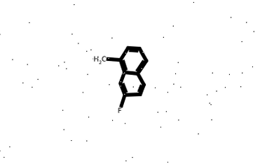 [CH2]c1cccc2ccc(F)cc12